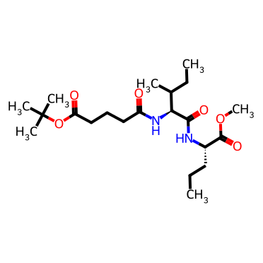 CCC[C@H](NC(=O)[C@@H](NC(=O)CCCC(=O)OC(C)(C)C)C(C)CC)C(=O)OC